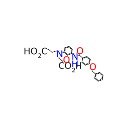 O=C(O)CCCN1CC(C(=O)O)Oc2c(NC(=O)c3ccc(OCc4ccccc4)cc3)cccc21